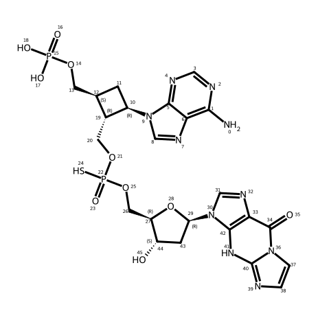 Nc1ncnc2c1ncn2[C@@H]1C[C@H](COP(=O)(O)O)[C@H]1COP(=O)(S)OC[C@H]1O[C@@H](n2cnc3c(=O)n4ccnc4[nH]c32)C[C@@H]1O